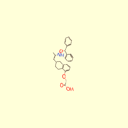 CC(=CC1CCc2c(cccc2OCC(=O)O)C1)NOC(c1ccccc1)c1ccccc1